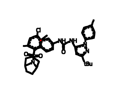 Cc1ccc(-n2nc(C(C)(C)C)cc2NC(=O)Nc2ccc(CC3CC4CCC(C3)N4S(=O)(=O)c3cc(C)c(Cl)cc3C)cc2)cc1